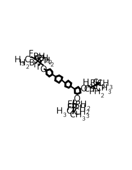 BC(B)(C(C)F)C(P)(I)C(P)(I)COc1ccc(-c2ccc(-c3ccc(-c4cc(OCC(F)(P)C(F)(P)C(C)(C)C)cc(OCC(P)(I)C(F)(P)C(C)(C)C)c4)cc3)cc2)cc1